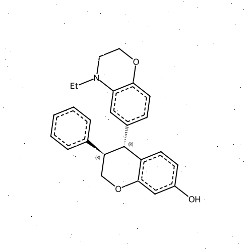 CCN1CCOc2ccc([C@@H]3c4ccc(O)cc4OC[C@H]3c3ccccc3)cc21